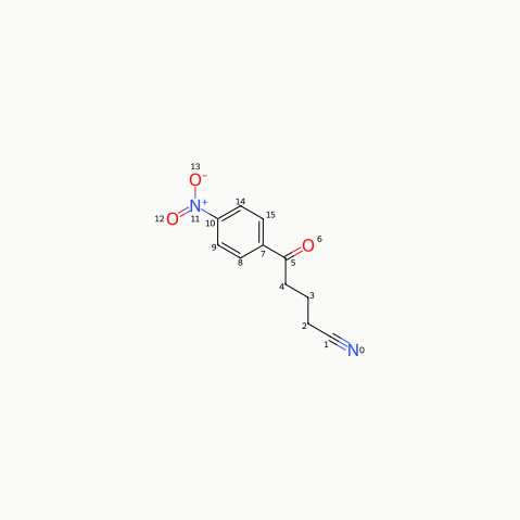 N#CCCCC(=O)c1ccc([N+](=O)[O-])cc1